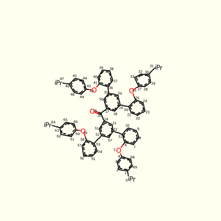 CC(C)c1ccc(Oc2ccccc2-c2cc(C(=O)c3cc(-c4ccccc4Oc4ccc(C(C)C)cc4)cc(-c4ccccc4Oc4ccc(C(C)C)cc4)c3)cc(-c3ccccc3Oc3ccc(C(C)C)cc3)c2)cc1